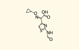 O=CNc1nc(C(=NOC2CC2)C(=O)O)cs1